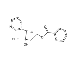 O=CC(O)(CCOC(=O)c1ccccc1)C(=O)c1cccnc1